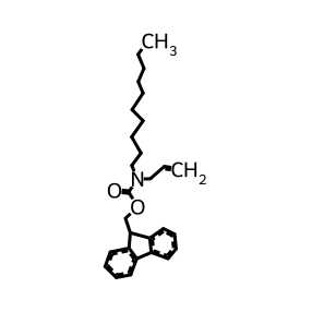 C=CCN(CCCCCCCCCC)C(=O)OCC1c2ccccc2-c2ccccc21